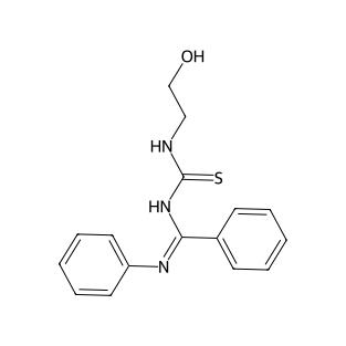 OCCNC(=S)N/C(=N\c1ccccc1)c1ccccc1